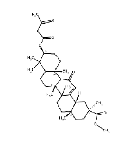 COC(=O)[C@@]1(C)CC[C@]2(C)CCC3(C)C(=CC(=O)C4[C@@]5(C)CC[C@H](OC(=O)CC(C)=O)C(C)(C)C5CC[C@]43C)[C@@H]2C1